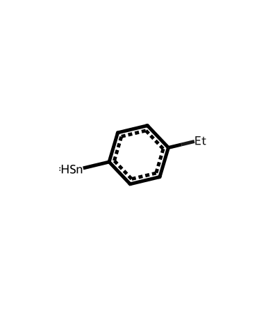 CCc1cc[c]([SnH])cc1